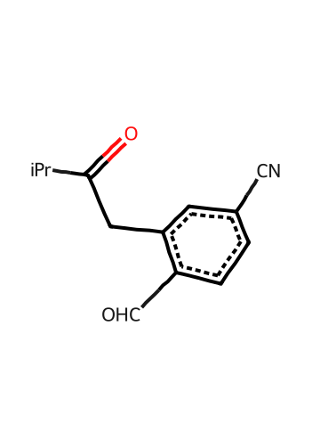 CC(C)C(=O)Cc1cc(C#N)ccc1C=O